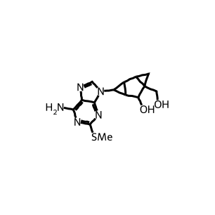 CSc1nc(N)c2ncn(C3C4C3C3CC3(CO)C4O)c2n1